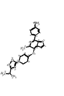 CC1N=C(c2ccc(N)cc2)C2=NC=CC2=C1OC1CCN(c2nc(C(C)C)no2)CC1